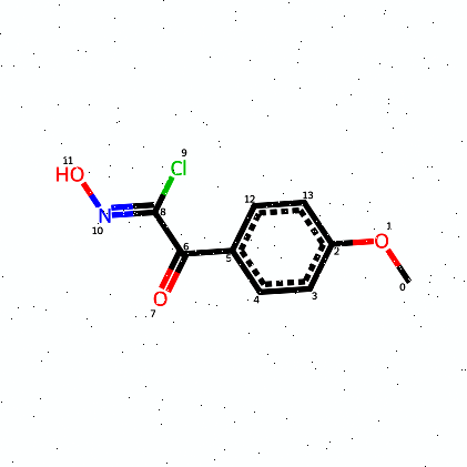 COc1ccc(C(=O)C(Cl)=NO)cc1